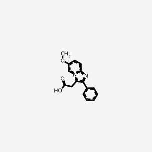 COc1ccc2nc(-c3ccccc3)c(CC(=O)O)n2c1